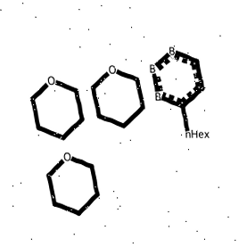 C1CCOCC1.C1CCOCC1.C1CCOCC1.CCCCCCc1bbbcc1